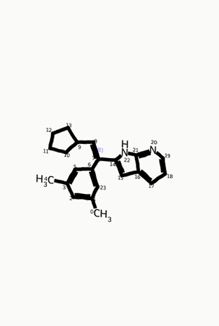 Cc1cc(C)cc(/C(=C\C2CCCC2)c2cc3cccnc3[nH]2)c1